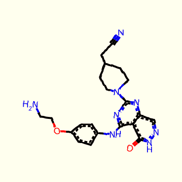 N#CCC1CCN(c2nc(Nc3ccc(OCCN)cc3)c3c(=O)[nH]ncc3n2)CC1